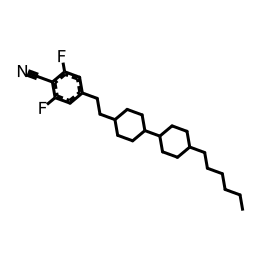 CCCCCCC1CCC(C2CCC(CCc3cc(F)c(C#N)c(F)c3)CC2)CC1